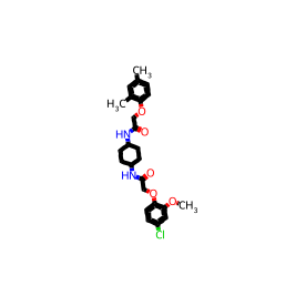 COc1cc(Cl)ccc1OCC(=O)NC1CCC(NC(=O)COc2ccc(C)cc2C)CC1